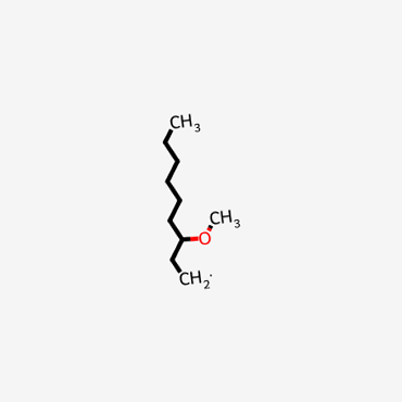 [CH2]CC(CCCCCC)OC